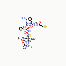 CC[C@H](C)[C@H](NC(=O)C1CCCCN1C)C(=O)N(C)[C@H](C[C@@H](OC(C)=O)c1nc(C(=O)N[C@@H](CSc2ccccc2)C(=O)N[C@H](CCCCN)C(=O)N[C@@H](Cc2ccccc2)C(=O)N2CCN(C(=O)CCCS)CC2)cs1)C(C)C